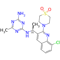 Cc1nc(N)nc(N[C@@H](C)c2cc3cccc(Cl)c3nc2N2CCS(=O)(=O)CC2)n1